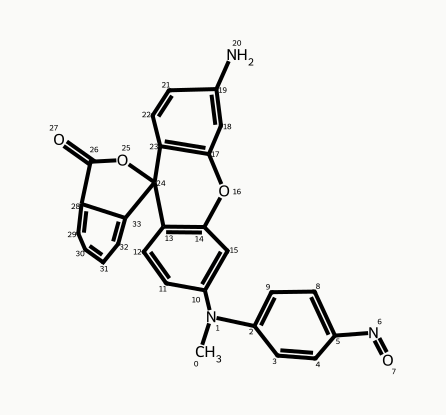 CN(c1ccc(N=O)cc1)c1ccc2c(c1)Oc1cc(N)ccc1C21OC(=O)c2ccccc21